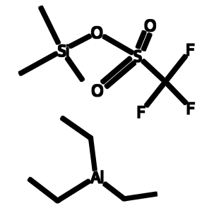 C[CH2][Al]([CH2]C)[CH2]C.C[Si](C)(C)OS(=O)(=O)C(F)(F)F